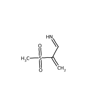 C=C(C=N)S(C)(=O)=O